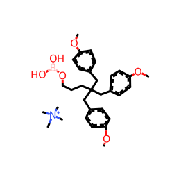 COc1ccc(CC(CCCOB(O)O)(Cc2ccc(OC)cc2)Cc2ccc(OC)cc2)cc1.C[N+](C)(C)C